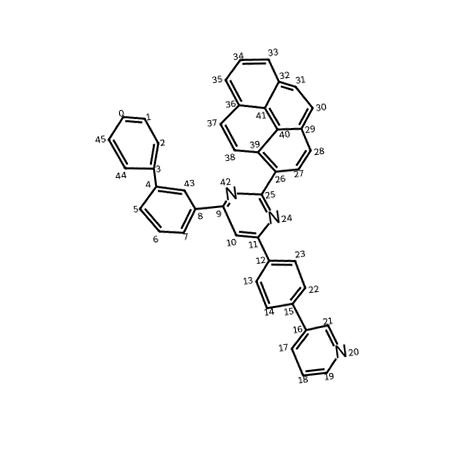 c1ccc(-c2cccc(-c3cc(-c4ccc(-c5cccnc5)cc4)nc(-c4ccc5ccc6cccc7ccc4c5c67)n3)c2)cc1